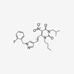 CCCCn1c(/C=C/c2cnn(Cc3ccccc3F)c2)c([N+](=O)[O-])c(=O)n(CC(C)C)c1=O